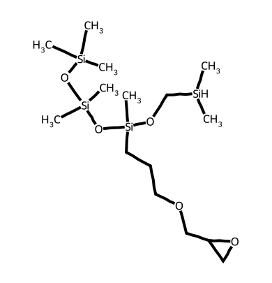 C[SiH](C)CO[Si](C)(CCCOCC1CO1)O[Si](C)(C)O[Si](C)(C)C